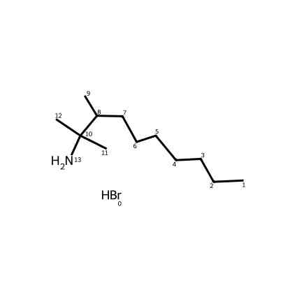 Br.CCCCCCCC(C)C(C)(C)N